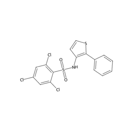 O=S(=O)(Nc1ccsc1-c1ccccc1)c1c(Cl)cc(Cl)cc1Cl